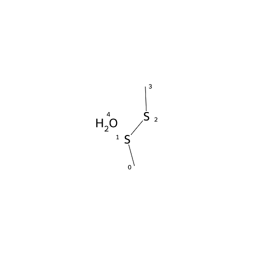 CSSC.O